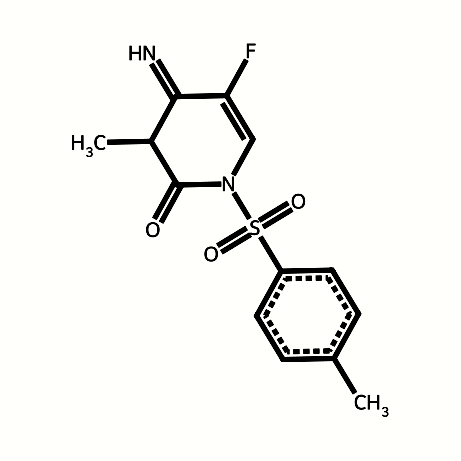 Cc1ccc(S(=O)(=O)N2C=C(F)C(=N)C(C)C2=O)cc1